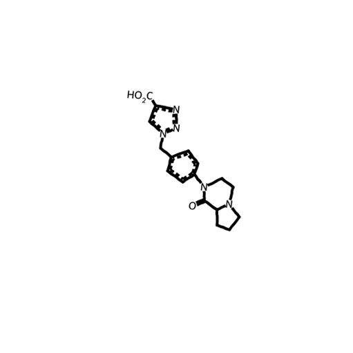 O=C(O)c1cn(Cc2ccc(N3CCN4CCCC4C3=O)cc2)nn1